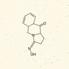 O=C1C2C=CC=CC2CN2C(=NO)CCC12